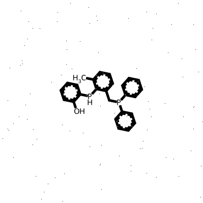 Cc1cccc(CP(c2ccccc2)c2ccccc2)c1Pc1ccccc1O